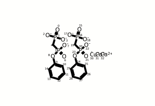 O=P([O-])([O-])CP(=O)([O-])Oc1ccccc1.O=P([O-])([O-])CP(=O)([O-])Oc1ccccc1.[Cu+2].[Cu+2].[Cu+2]